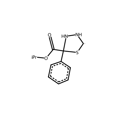 CC(C)OC(=O)C1(c2ccccc2)NN[CH]S1